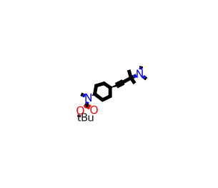 CN(C)C(C)(C)C#C[C@H]1CC[C@H](N(C)C(=O)OC(C)(C)C)CC1